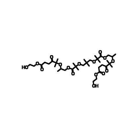 CC(COC(=O)C(C)(C)OCC(C)(C)COC(C)(C)C(=O)OCC(C)OC(C)(C)C(=O)CCC(=O)OCCO)OC(C)(C)C(=O)CCC(=O)OCCO